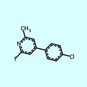 Cc1cc(-c2ccc(Cl)cc2)cc(I)n1